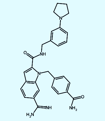 N=C(N)c1ccc2cc(C(=O)NCc3cccc(N4CCCC4)c3)n(Cc3ccc(C(N)=O)cc3)c2c1